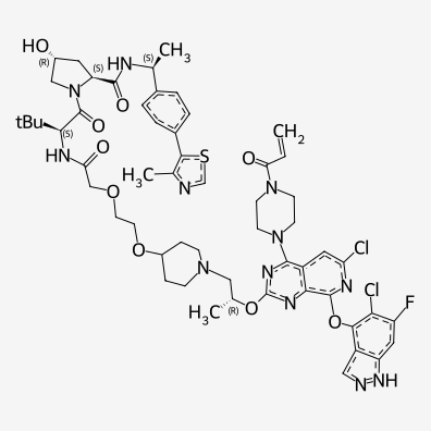 C=CC(=O)N1CCN(c2nc(O[C@H](C)CN3CCC(OCCOCC(=O)N[C@H](C(=O)N4C[C@H](O)C[C@H]4C(=O)N[C@@H](C)c4ccc(-c5scnc5C)cc4)C(C)(C)C)CC3)nc3c(Oc4c(Cl)c(F)cc5[nH]ncc45)nc(Cl)cc23)CC1